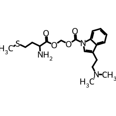 CSCCC(N)C(=O)OCOC(=O)n1cc(CCN(C)C)c2ccccc21